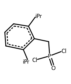 CC(C)c1cccc(C(C)C)c1CP(=O)(Cl)Cl